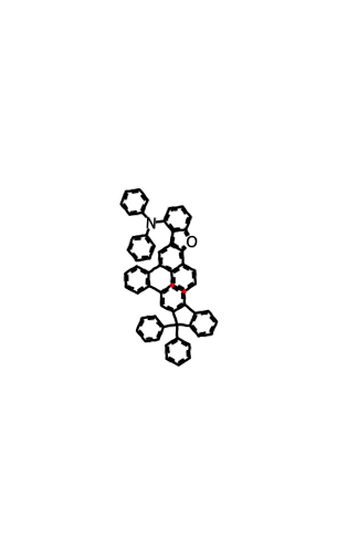 c1ccc(N(c2ccccc2)c2cccc3oc4c5ccccc5c(-c5ccccc5-c5ccc6c(c5)C(c5ccccc5)(c5ccccc5)c5ccccc5-6)cc4c23)cc1